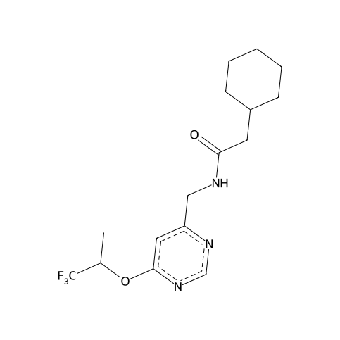 CC(Oc1cc(CNC(=O)CC2CCCCC2)ncn1)C(F)(F)F